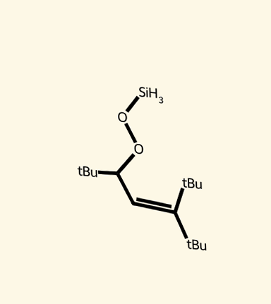 CC(C)(C)C(=CC(OO[SiH3])C(C)(C)C)C(C)(C)C